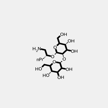 CCC[C@H](CN)O[C@@H]1OC(CO)[C@H](O)C(O)[C@@H]1O[C@H]1OC(CO)[C@@H](O)C(O)C1O